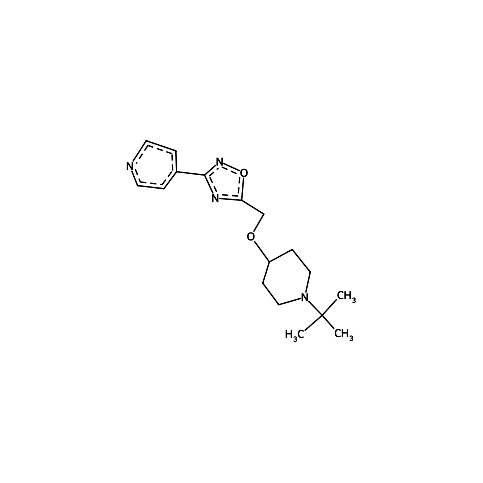 CC(C)(C)N1CCC(OCc2nc(-c3ccncc3)no2)CC1